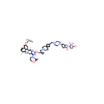 CCc1c(F)ccc2cc(OCOC)cc(-c3ncc4c(N5CCCOC6CC65)nc(OCC5(CN6CCC7(CC6)CC(CN6CCN(c8ccc9c(c8)CN([C@H]8CCC(=O)NC8=O)C9=O)CC6)C7)CC5)nc4c3F)c12